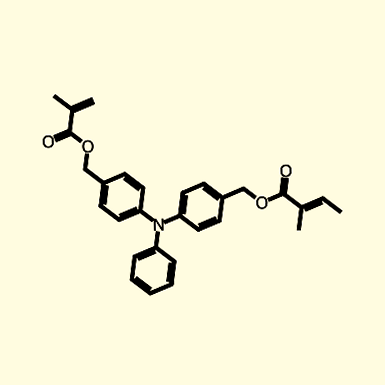 C=C(C)C(=O)OCc1ccc(N(c2ccccc2)c2ccc(COC(=O)/C(C)=C/C)cc2)cc1